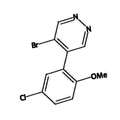 COc1ccc(Cl)cc1-c1cnncc1Br